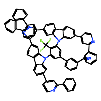 N#Cc1cccc(-c2cc(-n3c4cc(-c5ccnc(-c6ccccc6)c5)ccc4c4ccc(-c5ccnc(-c6ccccc6)c5)cc43)c(C(F)(F)F)c(-n3c4cc(-c5ccnc(-c6ccccc6)c5)ccc4c4ccc(-c5ccnc(-c6ccccc6)c5)cc43)c2)c1